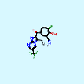 CCc1c(C(=O)C2=CCC(Br)=C(O)C(C#N)=C2)nc2ncc(C(F)(F)F)cn12